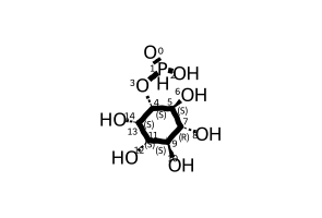 O=[PH](O)O[C@@H]1[C@@H](O)[C@H](O)[C@@H](O)[C@H](O)[C@@H]1O